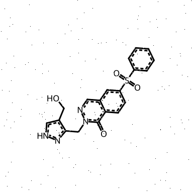 O=c1c2ccc(S(=O)(=O)c3ccccc3)cc2cnn1Cc1n[nH]cc1CO